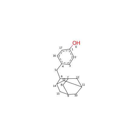 Oc1ccc(CC2C3CC4CC(C3)CC2C4)cc1